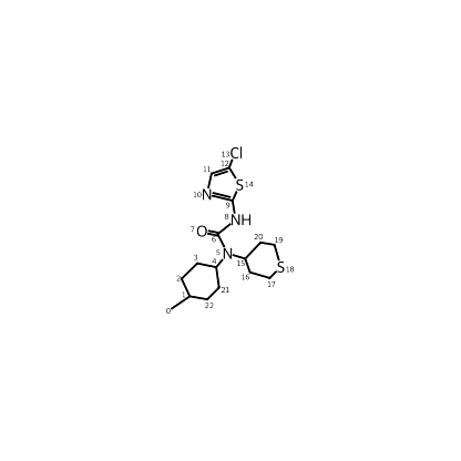 CC1CCC(N(C(=O)Nc2ncc(Cl)s2)C2CCSCC2)CC1